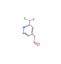 O=CCc1ccnc(C(F)F)c1